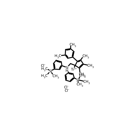 CC1=C(C)[C]([Ti+3])(C[SiH](c2cccc([Si](C)(C)C)c2)c2cccc([Si](C)(C)C)c2)C(c2cc(C)cc(C)c2)=C1C.[Cl-].[Cl-].[Cl-]